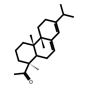 CC(=O)[C@@]1(C)CCC[C@@]2(C)C1CC=C1C=C(C(C)C)CC[C@]12C